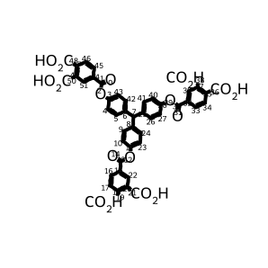 O=C(Oc1ccc(C(c2ccc(OC(=O)c3ccc(C(=O)O)c(C(=O)O)c3)cc2)c2ccc(OC(=O)c3ccc(C(=O)O)c(C(=O)O)c3)cc2)cc1)c1ccc(C(=O)O)c(C(=O)O)c1